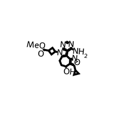 COC(=O)C1CC(n2c3c(c4c(N)ncnc42)-c2noc(C4CC4)c2C(O)CC3)C1